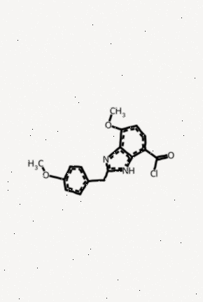 COc1ccc(Cc2nc3c(OC)ccc(C(=O)Cl)c3[nH]2)cc1